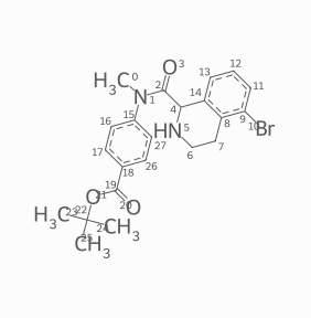 CN(C(=O)C1NCCc2c(Br)cccc21)c1ccc(C(=O)OC(C)(C)C)cc1